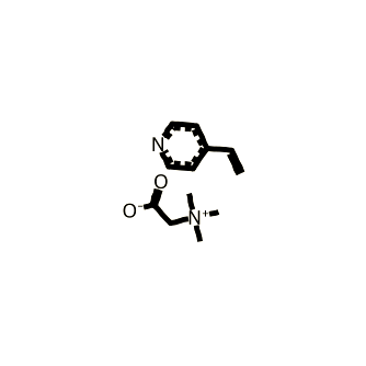 C=Cc1ccncc1.C[N+](C)(C)CC(=O)[O-]